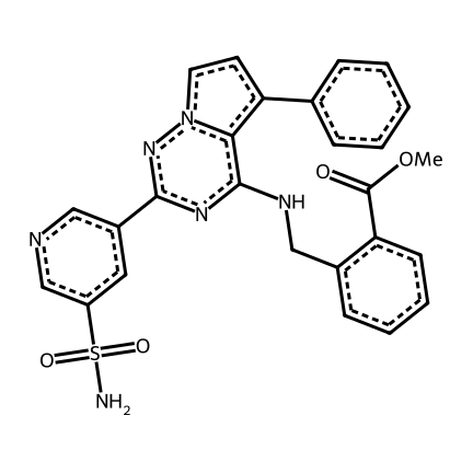 COC(=O)c1ccccc1CNc1nc(-c2cncc(S(N)(=O)=O)c2)nn2ccc(-c3ccccc3)c12